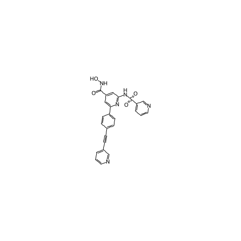 O=C(NO)c1cc(NS(=O)(=O)c2cccnc2)nc(-c2ccc(C#Cc3cccnc3)cc2)c1